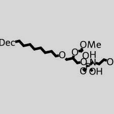 CCCCCCCCCCCCCCCCCCOCC(COP(=O)(O)NCCO)OC(=O)OC